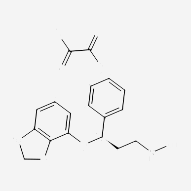 CNCC[C@@H](Oc1cccc2c1OCO2)c1ccccc1.O=C(O)C(=O)O